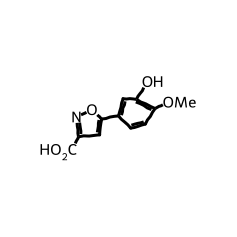 COc1ccc(-c2cc(C(=O)O)no2)cc1O